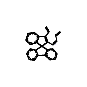 C=C/C=C\C1=C(C=C)c2ccccc2C12c1ccccc1-c1ccccc12